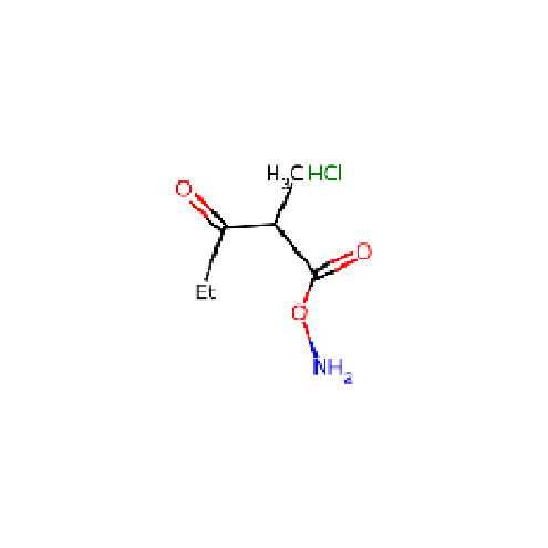 CCC(=O)C(C)C(=O)ON.Cl